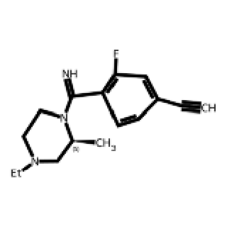 C#Cc1ccc(C(=N)N2CCN(CC)C[C@@H]2C)c(F)c1